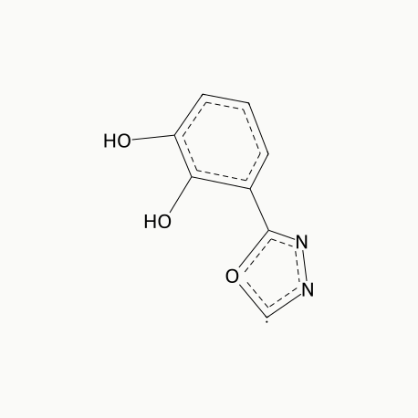 Oc1cccc(-c2nn[c]o2)c1O